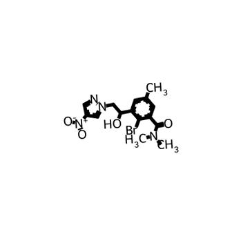 Cc1cc(C(=O)N(C)C)c(Br)c(C(O)Cn2cc([N+](=O)[O-])cn2)c1